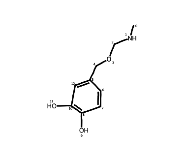 CNCOCc1ccc(O)c(O)c1